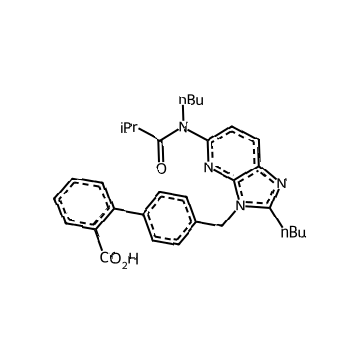 CCCCc1nc2ccc(N(CCCC)C(=O)C(C)C)nc2n1Cc1ccc(-c2ccccc2C(=O)O)cc1